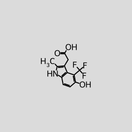 Cc1[nH]c2ccc(O)c(C(F)(F)F)c2c1CC(=O)O